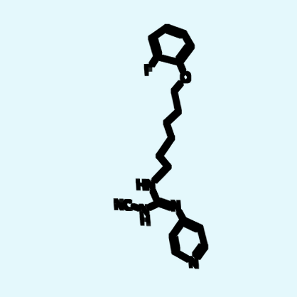 N#CN/C(=N\c1ccncc1)NCCCCCCOc1ccccc1F